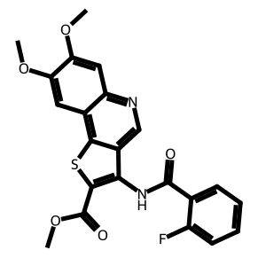 COC(=O)c1sc2c(cnc3cc(OC)c(OC)cc32)c1NC(=O)c1ccccc1F